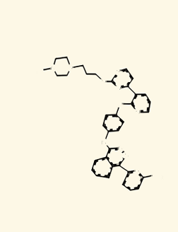 Cc1cccc(-c2nnc(Nc3ccc(Oc4ncccc4-c4ccnc(NCCCN5CCN(C)CC5)n4)cc3)c3ccccc23)n1